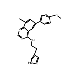 COc1ccc(-c2cc(C)c3ncnc(NCCc4cn[nH]c4)c3c2)cn1